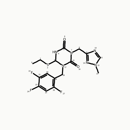 CCSC1NC(=O)N(Cc2ncn(C)n2)C(=O)N1Cc1cc(F)c(F)cc1F